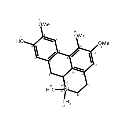 COc1cc2c(cc1O)C[C@H]1c3c(cc(OC)c(OC)c3-2)CC[N+]1(C)C